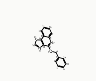 c1ccc(COc2nc3ccccc3c3scnc23)cc1